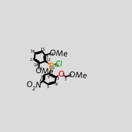 COCOc1ccc([N+](=O)[O-])cc1P(Cl)c1c(OC)cccc1OC